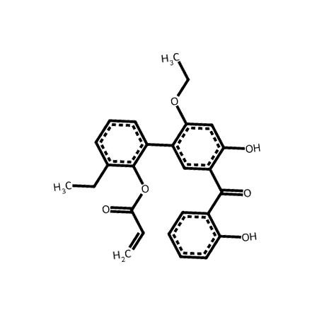 C=CC(=O)Oc1c(CC)cccc1-c1cc(C(=O)c2ccccc2O)c(O)cc1OCC